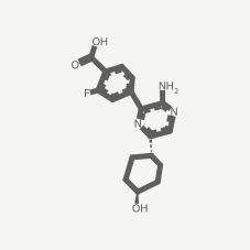 Nc1ncc([C@H]2CC[C@H](O)CC2)nc1-c1ccc(C(=O)O)c(F)c1